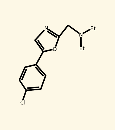 CCN(CC)Cc1ncc(-c2ccc(Cl)cc2)o1